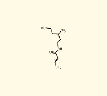 C/C=C/C(=O)NCCN(C)CCN